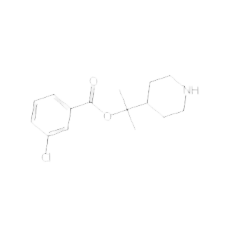 CC(C)(OC(=O)c1cccc(Cl)c1)C1CCNCC1